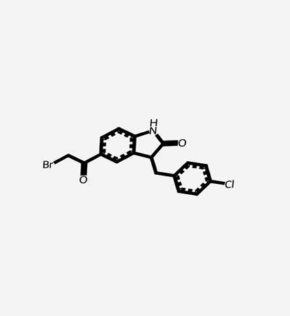 O=C(CBr)c1ccc2c(c1)C(Cc1ccc(Cl)cc1)C(=O)N2